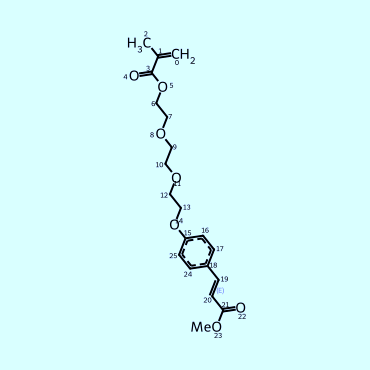 C=C(C)C(=O)OCCOCCOCCOc1ccc(/C=C/C(=O)OC)cc1